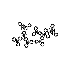 Cc1cc(-c2nc(-c3ccccc3)nc(-c3ccccc3)n2)cc(C)c1-n1c2ccc(N(c3ccccc3)c3ccccc3)cc2c2cc(N(c3ccccc3)c3ccc(-c4ccc(N(c5ccccc5)c5ccc6c(c5)c5cc(N(c7ccccc7)c7ccccc7)ccc5n6-c5c6ccccc6c(-c6nc(-c7ccccc7)nc(-c7ccccc7)n6)c6ccccc56)cc4)cc3)ccc21